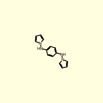 c1ccn(Nc2ccc(Nn3cccc3)cc2)c1